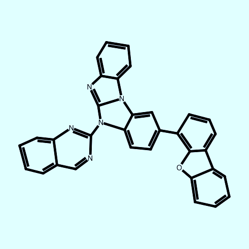 c1ccc2nc(-n3c4ccc(-c5cccc6c5oc5ccccc56)cc4n4c5ccccc5nc34)ncc2c1